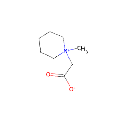 C[N+]1(CC(=O)[O-])CCCCC1